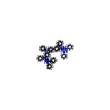 c1ccc(-c2nc(-c3ccccc3)nc(-n3c4ccccc4c4cc(-c5ccc6c(c5)c5cc7c8c(nc(-c9ccccc9)n8-c8ccccc8)n(-c8ccccc8)c7cc5n6-c5ccccc5)ccc43)n2)cc1